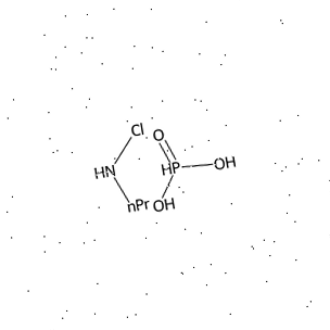 CCCNCl.O=[PH](O)O